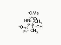 COC(=O)NC(C(=O)C(C)C)C(C)(C)O